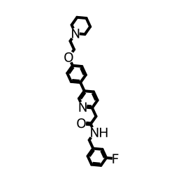 O=C(Cc1ccc(-c2ccc(OCCN3CCCCC3)cc2)cn1)NCc1cccc(F)c1